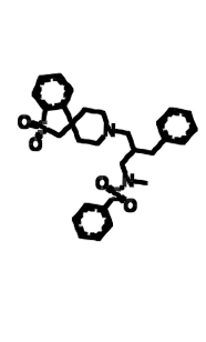 CN(CC(Cc1ccccc1)CN1CCC2(CC1)CS(=O)(=O)c1ccccc12)S(=O)(=O)c1ccccc1